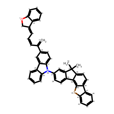 C=C(/C=C\C=C1/COc2ccccc21)c1ccc2c(c1)c1ccccc1n2-c1ccc2c(c1)C(C)(C)c1ccc3c(sc4ccccc43)c1-2